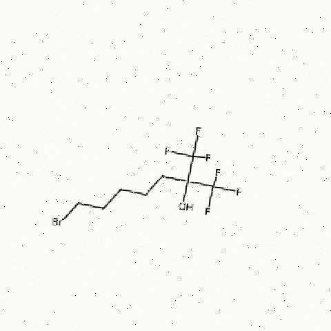 OC(CCCCCBr)(C(F)(F)F)C(F)(F)F